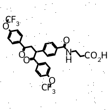 O=C(O)CCNC(=O)c1ccc(C(CC(=O)c2ccc(OC(F)(F)F)cc2)C(=O)c2ccc(OC(F)(F)F)cc2)cc1